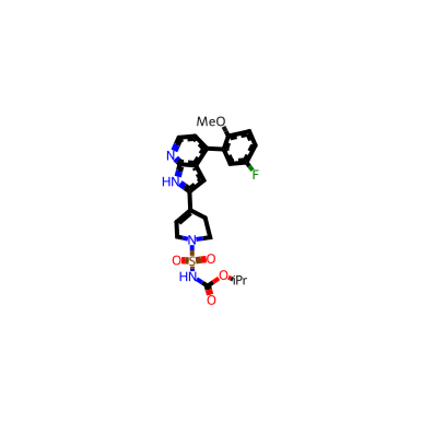 COc1ccc(F)cc1-c1ccnc2[nH]c(C3=CCN(S(=O)(=O)NC(=O)OC(C)C)CC3)cc12